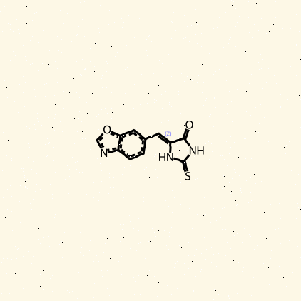 O=C1NC(=S)N/C1=C\c1ccc2ncoc2c1